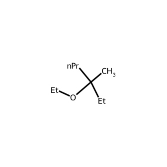 [CH2]CC(C)(CCC)OCC